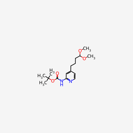 COC(CCCc1ccnc(NC(=O)OC(C)(C)C)c1)OC